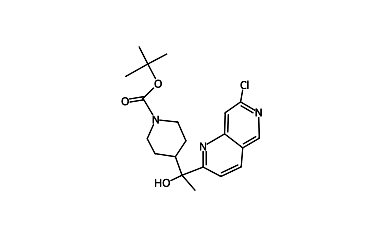 CC(C)(C)OC(=O)N1CCC(C(C)(O)c2ccc3cnc(Cl)cc3n2)CC1